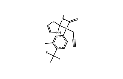 C#CC[N+]1(c2ccc(C(F)(F)F)c(C)c2)C(=O)NC12NC=CS2